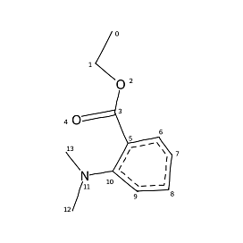 CCOC(=O)c1ccccc1N(C)C